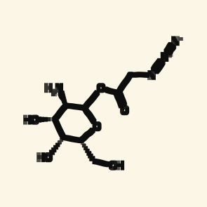 [N-]=[N+]=NCC(=O)OC1O[C@H](CO)[C@H](O)[C@H](O)[C@H]1N